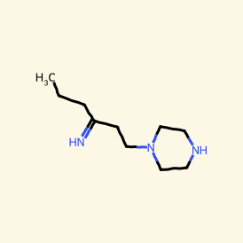 CCCC(=N)CCN1CCNCC1